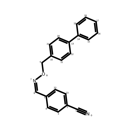 N#Cc1ccc(/[C]=N\OCc2ccc(-c3ccccc3)cc2)cc1